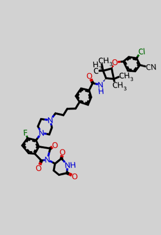 CC1(C)[C@H](NC(=O)c2ccc(CCCCN3CCN(c4c(F)ccc5c4C(=O)N(C4CCC(=O)NC4=O)C5=O)CC3)cc2)C(C)(C)[C@H]1Oc1ccc(C#N)c(Cl)c1